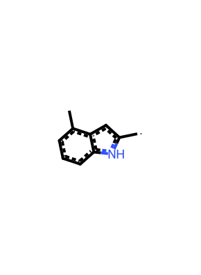 [CH2]c1cc2c(C)cccc2[nH]1